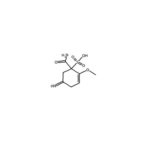 COC1=CCC(=N)CC1(C(N)=O)S(=O)(=O)O